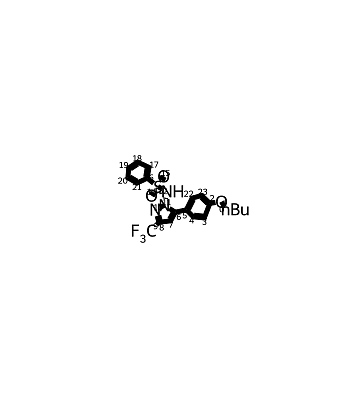 CCCCOc1ccc(-c2cc(C(F)(F)F)nn2NS(=O)(=O)c2ccccc2)cc1